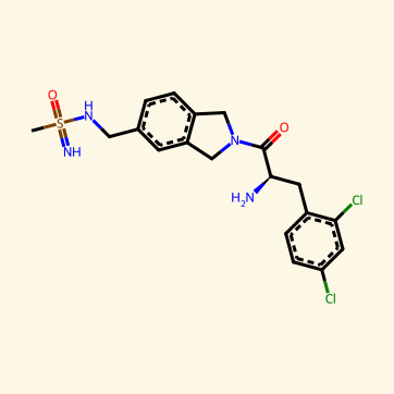 CS(=N)(=O)NCc1ccc2c(c1)CN(C(=O)[C@H](N)Cc1ccc(Cl)cc1Cl)C2